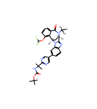 [2H]C([2H])([2H])N1C(=O)c2cccc(OC(F)F)c2[C@H]2C[C@@H]1c1nc3ccc(-c4cnc(C(C)(C)NC(=O)OC(C)(C)C)nc4)cc3n12